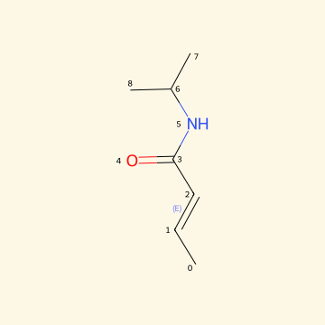 C/C=C/C(=O)NC(C)C